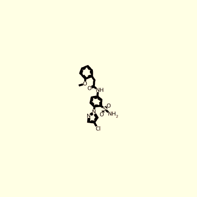 COc1ccccc1CC(=O)Nc1ccc(-n2cc(Cl)cn2)c(S(N)(=O)=O)c1